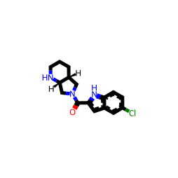 O=C(c1cc2cc(Cl)ccc2[nH]1)N1C[C@H]2CCCN[C@H]2C1